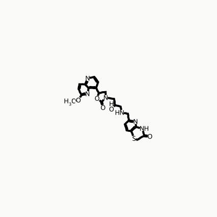 COc1ccc2nccc(C3CN(CC(O)CNCc4ccc5c(n4)NC(=O)CS5)C(=O)O3)c2n1